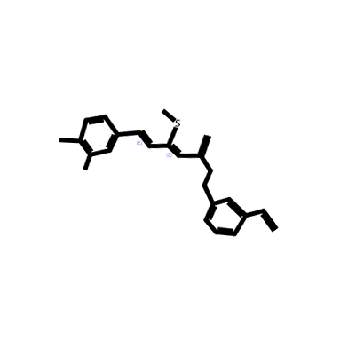 C=Cc1cccc(CCC(=C)/C=C(/C=C/c2ccc(C)c(C)c2)SC)c1